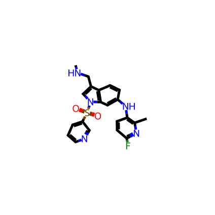 CNCc1cn(S(=O)(=O)c2cccnc2)c2cc(Nc3ccc(F)nc3C)ccc12